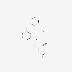 C#C[C@@H](CC(=O)OC)NC(=O)c1cccc(Oc2cc(CNCl)cc(C(F)(F)F)n2)c1